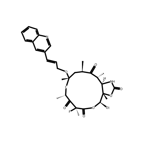 CC[C@H]1OC(=O)[C@@](C)(F)C(=O)[C@H](C)C[C@](C)(OC/C=C/c2cnc3ccccc3c2)C[C@@H](C)C(=O)[C@H](C)[C@H]2NC(=O)O[C@@]21C